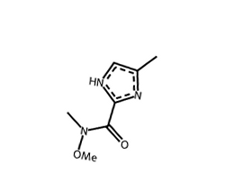 CON(C)C(=O)c1nc(C)c[nH]1